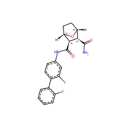 NC(=O)[C@H]1[C@@H](C(=O)Nc2ccc(-c3ccccc3F)c(F)c2)[C@@H]2CC[C@H]1O2